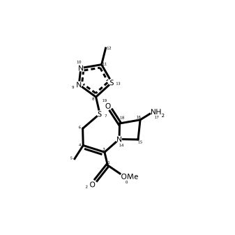 COC(=O)C(=C(C)CSc1nnc(C)s1)N1CC(N)C1=O